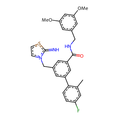 COc1cc(CNC(=O)c2cc(Cn3ccsc3=N)cc(-c3ccc(F)cc3C)c2)cc(OC)c1